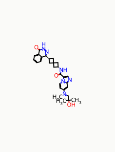 CN(CC(C)(C)O)c1ccn2c(C(=O)N[C@H]3CC4(C3)C[C@H](c3n[nH]c(=O)c5ccccc53)C4)cnc2c1